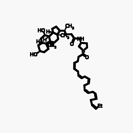 CC/C=C\C/C=C\C/C=C\C/C=C\C/C=C\C/C=C\CCC(=O)N1CC[C@@H](NC(=O)CC[C@@H](C)C2CC[C@H]3[C@@H]4[C@H](O)C[C@@H]5C[C@H](O)CC[C@]5(C)[C@H]4CC[C@]23C)C1